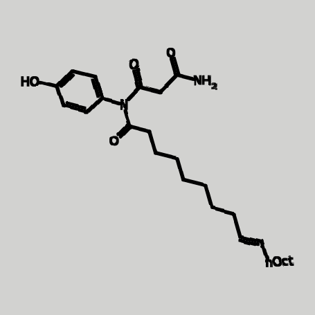 CCCCCCCCC=CCCCCCCCC(=O)N(C(=O)CC(N)=O)c1ccc(O)cc1